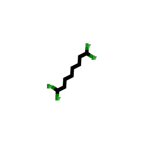 BrC(Br)CCCCCCC(Br)Br